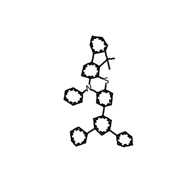 CC1(C)c2ccccc2-c2ccc3c(c21)Sc1ccc(-c2cc(-c4ccccc4)cc(-c4ccccc4)c2)cc1N3c1ccccc1